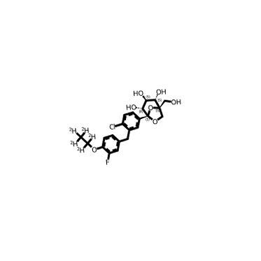 [2H]C([2H])([2H])C([2H])([2H])Oc1ccc(Cc2cc([C@]34OC[C@](CO)(O3)[C@@H](O)[C@H](O)[C@H]4O)ccc2Cl)cc1F